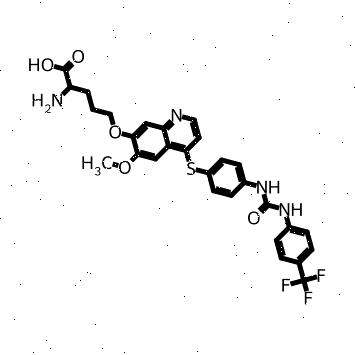 COc1cc2c(Sc3ccc(NC(=O)Nc4ccc(C(F)(F)F)cc4)cc3)ccnc2cc1OCCCC(N)C(=O)O